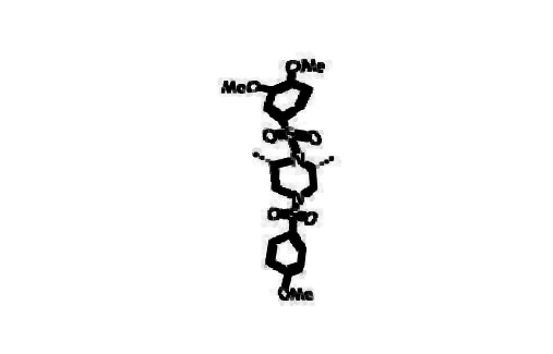 COc1ccc(S(=O)(=O)N2C[C@@H](C)N(S(=O)(=O)c3ccc(OC)c(OC)c3)[C@@H](C)C2)cc1